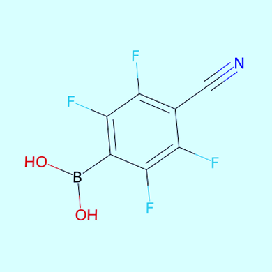 N#Cc1c(F)c(F)c(B(O)O)c(F)c1F